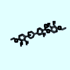 CCOc1ccc(OC(=O)c2ccc(C3CCC(c4ccc(OCC)c(F)c4F)CC3)cc2F)c(F)c1F